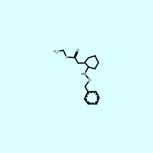 CCOC(=O)CC1CCCCC1NOCc1ccccc1